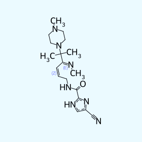 C/N=C(\C=C/CNC(=O)c1nc(C#N)c[nH]1)C(C)(C)N1CCN(C)CC1